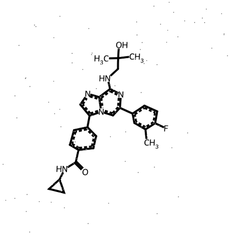 Cc1cc(-c2cn3c(-c4ccc(C(=O)NC5CC5)cc4)cnc3c(NCC(C)(C)O)n2)ccc1F